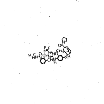 CNC(=O)c1cccc(C)c1Nc1nc(Nc2ccc(NC3C4CC5CC3CC(C(=O)N3CCCC3)(C5)C4)cc2OC)ncc1C(F)(F)F